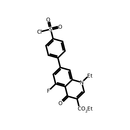 CCOC(=O)c1cn(CC)c2cc(-c3ccc(S(=O)(=O)Cl)cc3)cc(F)c2c1=O